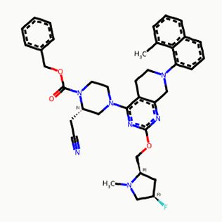 Cc1cccc2cccc(N3CCc4c(nc(OC[C@H]5C[C@@H](F)CN5C)nc4N4CCN(C(=O)OCc5ccccc5)[C@@H](CC#N)C4)C3)c12